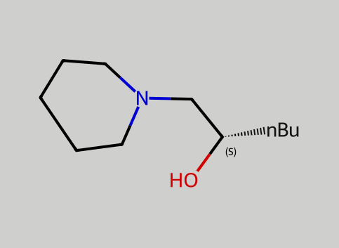 CCCC[C@H](O)CN1CCCCC1